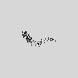 CCCCCCN1[C+]N(CCCC(F)(F)C(F)(F)C(F)(F)C(F)(F)C(F)(F)C(F)(F)F)C=C1.[I-]